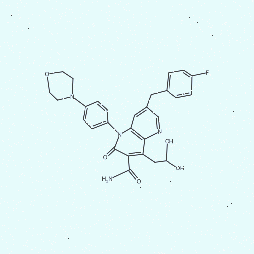 NC(=O)c1c(CC(O)O)c2ncc(Cc3ccc(F)cc3)cc2n(-c2ccc(N3CCOCC3)cc2)c1=O